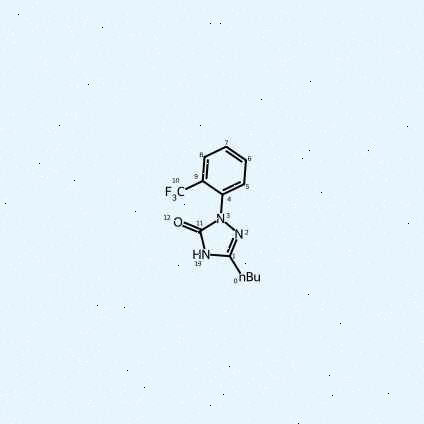 CCCCc1nn(-c2ccccc2C(F)(F)F)c(=O)[nH]1